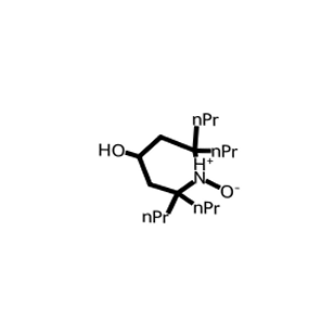 CCCC1(CCC)CC(O)CC(CCC)(CCC)[NH+]1[O-]